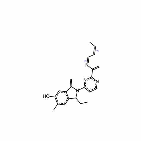 C=C(/N=C\C=C/C)c1nccc(N2C(=C)c3cc(O)c(C)cc3C2CC)n1